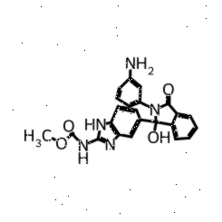 COC(=O)Nc1nc2cc(C3(O)c4ccccc4C(=O)N3c3cccc(N)c3)ccc2[nH]1